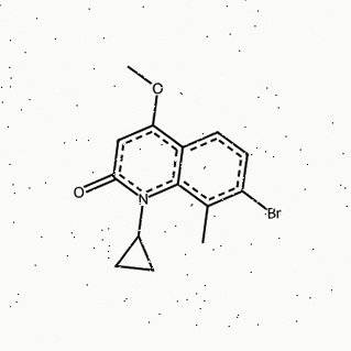 COc1cc(=O)n(C2CC2)c2c(C)c(Br)ccc12